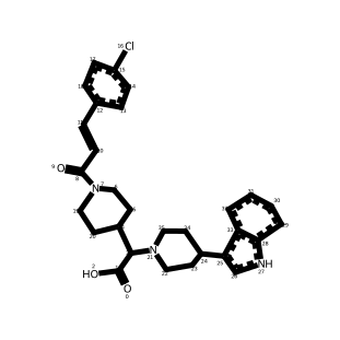 O=C(O)C(C1CCN(C(=O)C=Cc2ccc(Cl)cc2)CC1)N1CCC(c2c[nH]c3ccccc23)CC1